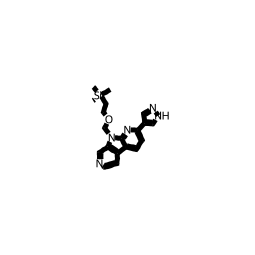 C[Si](C)(C)CCOCn1c2cnccc2c2ccc(-c3cn[nH]c3)nc21